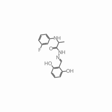 CC(Nc1cccc(F)c1)C(=O)NN=Cc1c(O)cccc1O